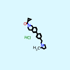 C[C@@H]1CCCN1CCc1ccc(-c2ccc3c(c2)CCN(C(=O)C2CC2)C3)cc1.Cl